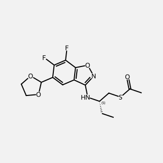 CC[C@@H](CSC(C)=O)Nc1noc2c(F)c(F)c(C3OCCO3)cc12